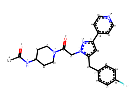 CCC(=O)NC1CCN(C(=O)Cn2nc(-c3ccncc3)cc2Cc2ccc(F)cc2)CC1